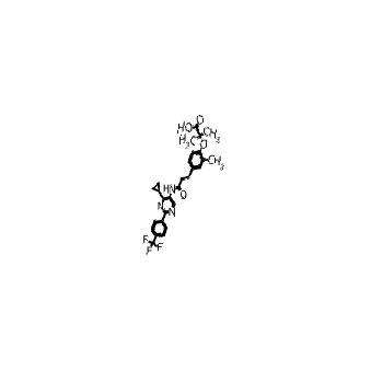 Cc1cc(CCC(=O)Nc2cnc(-c3ccc(C(F)(F)F)cc3)nc2C2CC2)ccc1OC(C)(C)C(=O)O